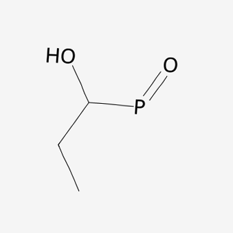 CCC(O)P=O